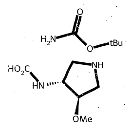 CC(C)(C)OC(N)=O.CO[C@@H]1CNC[C@H]1NC(=O)O